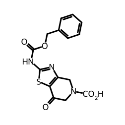 O=C(Nc1nc2c(s1)C(=O)CN(C(=O)O)C2)OCc1ccccc1